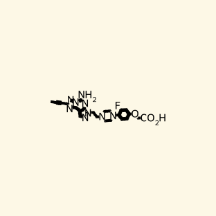 CC#Cc1nc2c3cnn(CCN4CCN(c5ccc(OCC(=O)O)cc5F)CC4)c3nc(N)n2n1